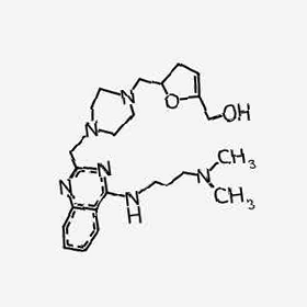 CN(C)CCCNc1nc(CN2CCN(CC3CC=C(CO)O3)CC2)nc2ccccc12